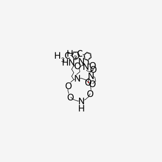 Cc1ccccc1NC(=O)CCCC1COCCOCCNCCOCCOCCN1CCCc1nc2c(C)cccc2c(=O)n1CC(=O)N1CCOCC1